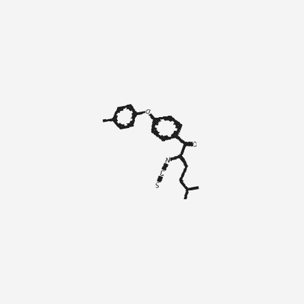 Cc1ccc(Oc2ccc(C(=O)C(CCC(C)C)N=C=S)cc2)cc1